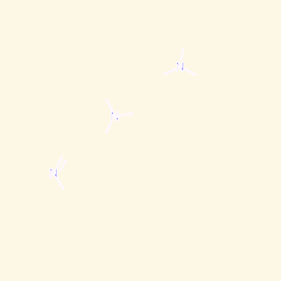 c1ccc2ncc(-n3cc(-n4cccc4)c4ccccc43)cc2c1